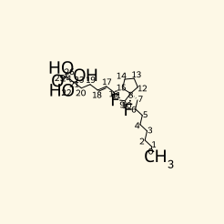 CCCCCCCC[C@@]1([C](F)F)CCC[C@H]1CC=CCCC(O)(O)C(=O)O